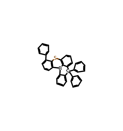 c1ccc(-c2cccc3c2Sc2cccc4c2B3c2ccccc2[Si]4(c2ccccc2)c2ccccc2)cc1